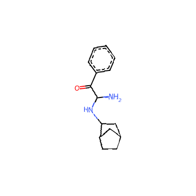 NC(NC1CC2CCC1C2)C(=O)c1ccccc1